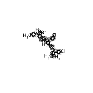 CN1CCC(Nc2ccc(S(=O)(=O)NC(=O)c3ccc(N4CCN(CC5=C(c6ccc(Cl)cc6)CC(C)(C)OC5)CC4)cc3Oc3cccc(Cl)c3)cc2[N+](=O)[O-])CC1